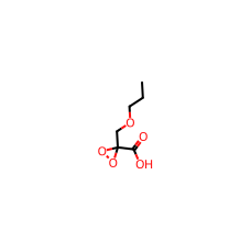 CCCOCC1(C(=O)O)OO1